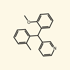 COc1ccccc1C(c1cccnc1)c1ccccc1C